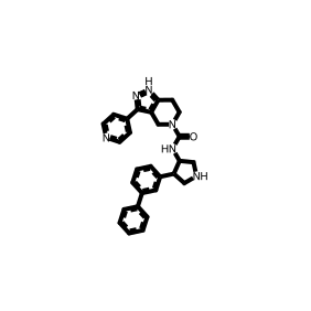 O=C(NC1CNCC1c1cccc(-c2ccccc2)c1)N1CCc2[nH]nc(-c3ccncc3)c2C1